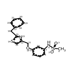 CS(=O)(=O)Nc1cccc(OCc2csc(Cc3ccccc3)n2)c1